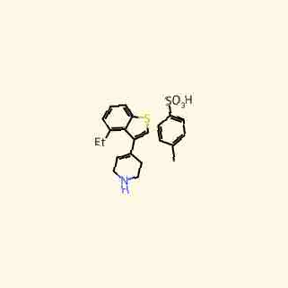 CCc1cccc2scc(C3=CCNCC3)c12.Cc1ccc(S(=O)(=O)O)cc1